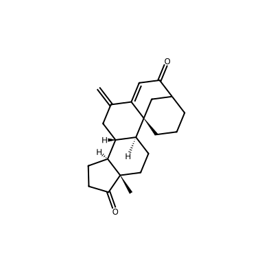 C=C1C[C@@H]2[C@H](CC[C@]3(C)C(=O)CC[C@@H]23)[C@@]23CCCC(C2)C(=O)C=C13